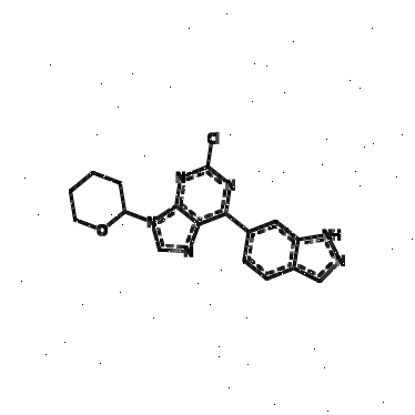 Clc1nc(-c2ccc3cn[nH]c3c2)c2ncn(C3CCCCO3)c2n1